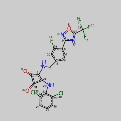 O=c1c(NCc2ccc(-c3noc(C(F)(F)F)n3)c(F)c2)c(Nc2c(Cl)cccc2Cl)c1=O